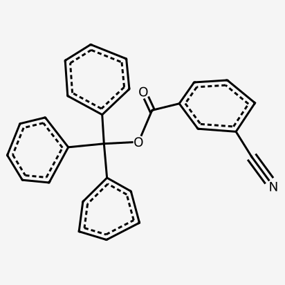 N#Cc1cccc(C(=O)OC(c2ccccc2)(c2ccccc2)c2ccccc2)c1